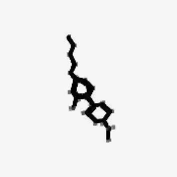 CCCCCc1ccc(C2=CCC(OC)C=C2)c(F)c1